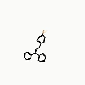 Brc1ccc(CC=C(c2ccccc2)c2ccccc2)cc1